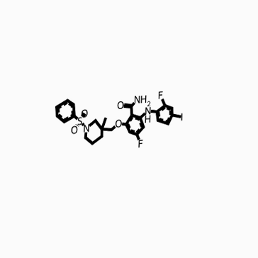 CC1(COc2cc(F)cc(Nc3ccc(I)cc3F)c2C(N)=O)CCCN(S(=O)(=O)c2ccccc2)C1